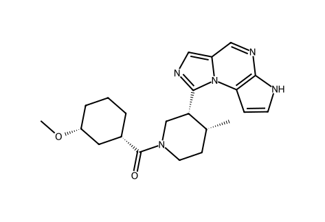 CO[C@@H]1CCC[C@H](C(=O)N2CC[C@@H](C)[C@@H](c3ncc4cnc5[nH]ccc5n34)C2)C1